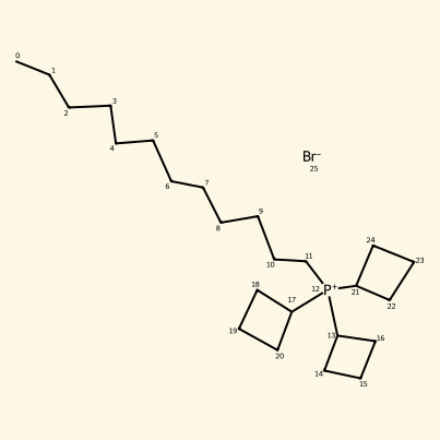 CCCCCCCCCCCC[P+](C1CCC1)(C1CCC1)C1CCC1.[Br-]